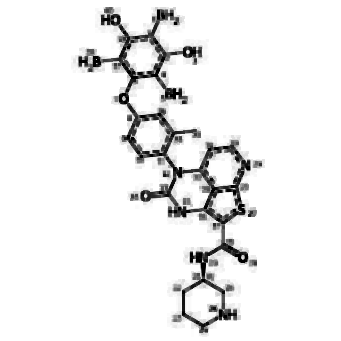 Bc1c(O)c(B)c(Oc2ccc(N3C(=O)Nc4c(C(=O)N[C@@H]5CCCNC5)sc5nccc3c45)c(C)c2)c(B)c1O